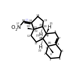 C[C@]12CCCCC1=CC[C@@H]1[C@@H]2CC[C@]2(C)/C(=C\[N+](=O)[O-])CC[C@@H]12